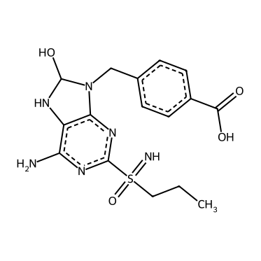 CCCS(=N)(=O)c1nc(N)c2c(n1)N(Cc1ccc(C(=O)O)cc1)C(O)N2